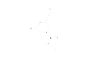 COC(=O)c1cc(I)cc(C#N)c1